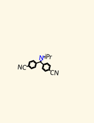 CC(C)N=C(c1ccc(C#N)cc1)c1ccc(C#N)cc1